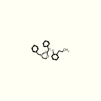 CCCc1ccccc1S[C@@H](c1ccccc1)[C@@H]1CN(Cc2ccccc2)CCO1